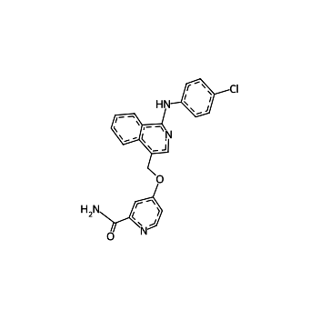 NC(=O)c1cc(OCc2cnc(Nc3ccc(Cl)cc3)c3ccccc23)ccn1